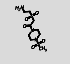 CS(=O)(=O)N1CCN(C(=O)CS(=O)(=O)CCN)CC1